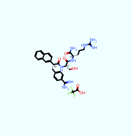 N=C(N)NCCC[C@H](NC(=O)[C@H](CO)NC(=O)[C@H](Cc1ccc(C(=N)N)cc1)c1ccc2ccccc2c1)C(N)=O.O=C(O)C(F)(F)F